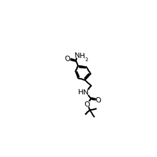 CC(C)(C)OC(=O)NCc1ccc(C(N)=O)cc1